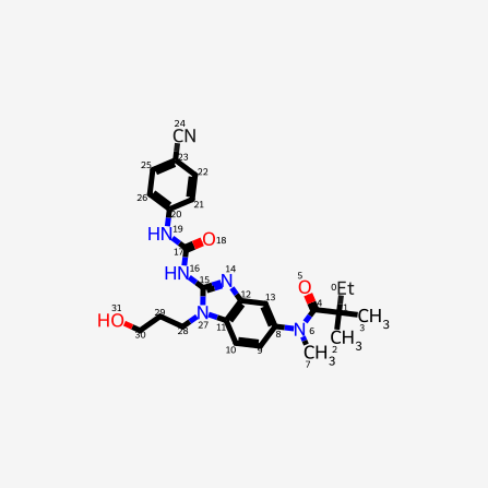 CCC(C)(C)C(=O)N(C)c1ccc2c(c1)nc(NC(=O)Nc1ccc(C#N)cc1)n2CCCO